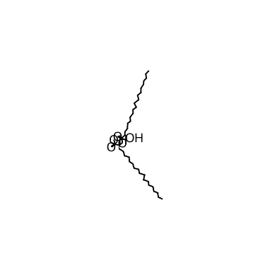 CCCCCCCCCCCCCCCCCC[C@H](OC(=O)[C@@H](O)CCCCCCCCCCCCCCCCCC)C(=O)O